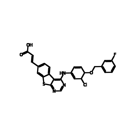 O=C(O)/C=C/c1ccc2c(c1)sc1ncnc(NC3=CC(Cl)C(OCc4cccc(F)c4)C=C3)c12